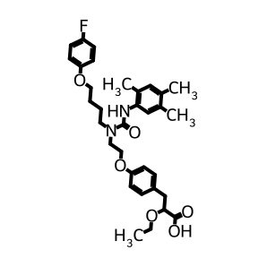 CCOC(Cc1ccc(OCCN(CCCCOc2ccc(F)cc2)C(=O)Nc2cc(C)c(C)cc2C)cc1)C(=O)O